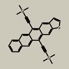 C[Si](C)(C)C#Cc1c2cc3ccccc3cc2c(C#C[Si](C)(C)C)c2cc3sccc3cc12